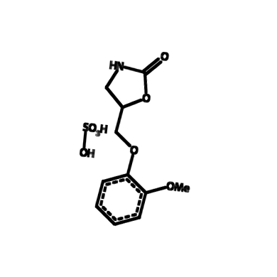 COc1ccccc1OCC1CNC(=O)O1.O=S(=O)(O)O